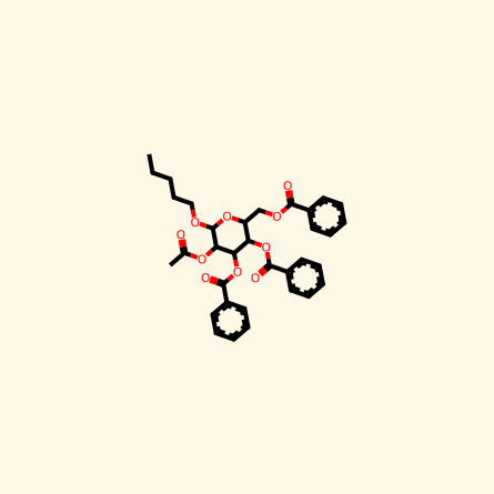 CCCCCOC1OC(COC(=O)c2ccccc2)C(OC(=O)c2ccccc2)C(OC(=O)c2ccccc2)C1OC(C)=O